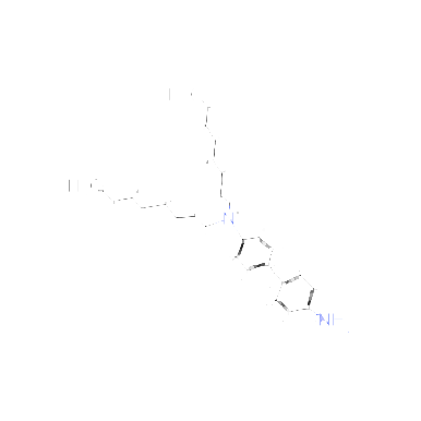 CCCCCCCCN(CCCCCCCC)c1ccc(-c2ccc(N)cc2)cc1